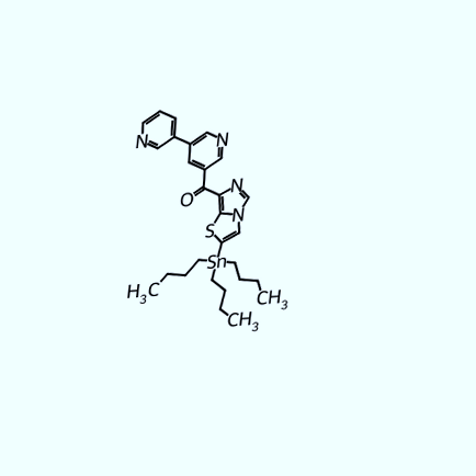 CCC[CH2][Sn]([CH2]CCC)([CH2]CCC)[c]1cn2cnc(C(=O)c3cncc(-c4cccnc4)c3)c2s1